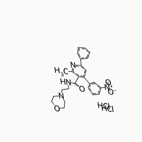 Cc1nc(-c2ccccc2)cc(-c2cccc([N+](=O)[O-])c2)c1C(=O)NCCN1CCOCC1.Cl.Cl